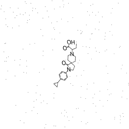 CCC(C(=O)O)N1CCC2(CCN(c3ccc(C4CC4)cc3)C2=O)CC1